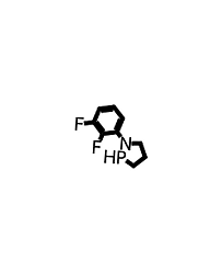 Fc1cccc(N2CCCP2)c1F